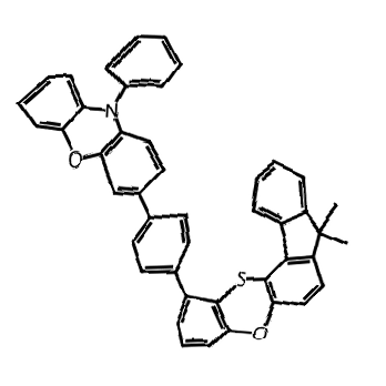 CC1(C)c2ccccc2-c2c1ccc1c2Sc2c(cccc2-c2ccc(-c3ccc4c(c3)Oc3ccccc3N4c3ccccc3)cc2)O1